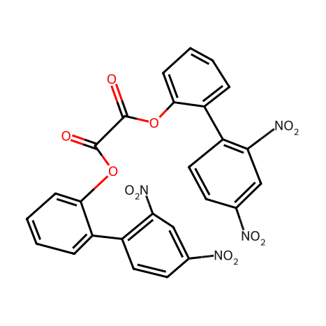 O=C(Oc1ccccc1-c1ccc([N+](=O)[O-])cc1[N+](=O)[O-])C(=O)Oc1ccccc1-c1ccc([N+](=O)[O-])cc1[N+](=O)[O-]